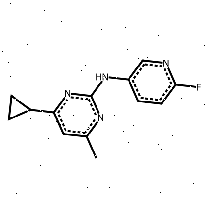 Cc1cc(C2CC2)nc(Nc2ccc(F)nc2)n1